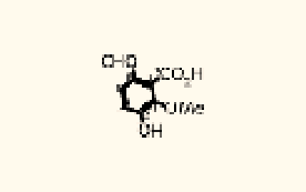 COc1c(O)ccc(C=O)c1C(=O)O